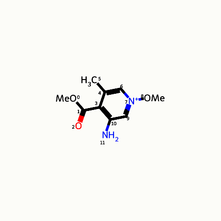 COC(=O)c1c(C)c[n+](OC)cc1N